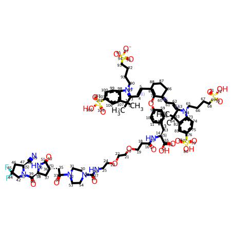 CC1(C)C(/C=C/C2=C(Oc3ccc(C[C@H](NC(=O)CCOCCOCCNC(=O)N4CCN(C(=O)C[C@@H]5C[C@@H](C(=O)N6CC(F)(F)C[C@H]6C#N)NC5=O)CC4)C(=O)O)cc3)C(=C/C=C3/N(CCCCS(=O)(=O)O)c4ccc(S(=O)(=O)O)cc4C3(C)C)/CCC2)=[N+](CCCCS(=O)(=O)[O-])c2ccc(S(=O)(=O)O)cc21